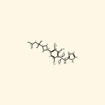 CN(C)CC(C)(C)C1CN(c2cc(F)c(S(=O)(=O)Nc3nccs3)c(F)c2Cl)C1